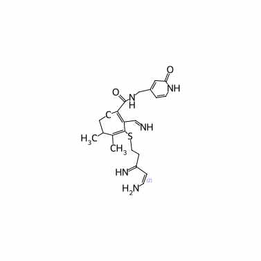 CC1=C(SCCC(=N)/C=C\N)C(C=N)=C(C(=O)NCc2cc[nH]c(=O)c2)CCC1C